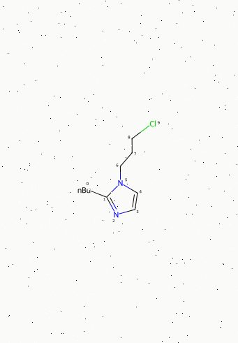 CCCCc1nccn1CCCCl